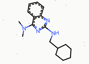 CN(C)c1nc(NCC2CCCCC2)nc2ccccc12